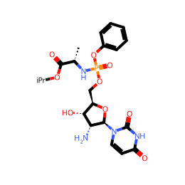 CC(C)OC(=O)[C@H](C)NP(=O)(OC[C@H]1O[C@@H](n2ccc(=O)[nH]c2=O)[C@H](N)[C@@H]1O)Oc1ccccc1